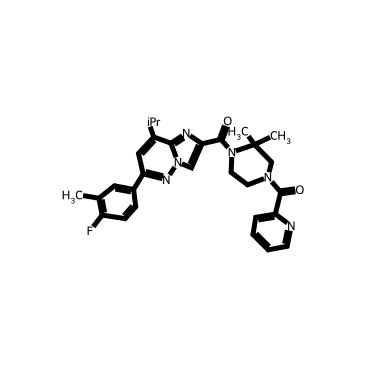 Cc1cc(-c2cc(C(C)C)c3nc(C(=O)N4CCN(C(=O)c5ccccn5)CC4(C)C)cn3n2)ccc1F